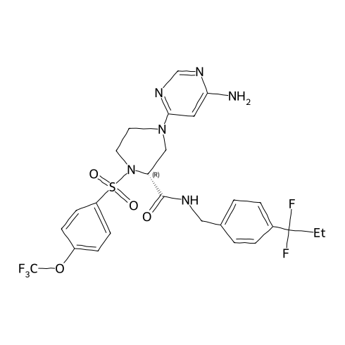 CCC(F)(F)c1ccc(CNC(=O)[C@H]2CN(c3cc(N)ncn3)CCN2S(=O)(=O)c2ccc(OC(F)(F)F)cc2)cc1